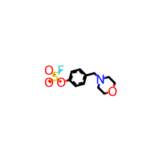 O=S(=O)(F)Oc1ccc(CN2CCOCC2)cc1